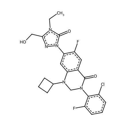 CCn1c(CO)nn(-c2cc3c(cc2F)C(=O)N(c2c(F)cccc2Cl)CN3C2CCC2)c1=O